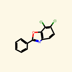 Clc1ccc2nc(-c3ccccc3)oc2c1Cl